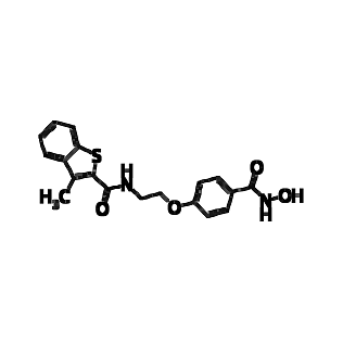 Cc1c(C(=O)NCCOc2ccc(C(=O)NO)cc2)sc2ccccc12